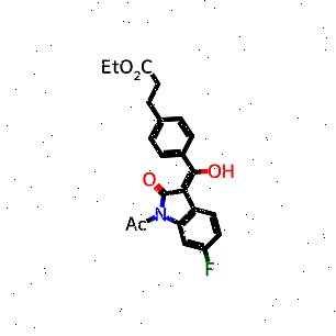 CCOC(=O)CCc1ccc(/C(O)=C2\C(=O)N(C(C)=O)c3cc(F)ccc32)cc1